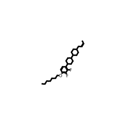 C/C=C\CC1CCC(C2CCC(c3ccc(OCCCCCCC)c(F)c3F)CC2)CC1